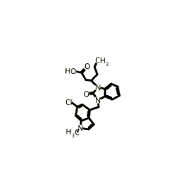 CCCC(CC(=O)O)n1c(=O)n(Cc2cc(Cl)cc3c2ccn3C)c2ccccc21